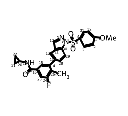 COc1ccc(S(=O)(=O)n2ncc3cc(-c4cc(C(=O)NC5CC5)cc(F)c4C)ccc32)cc1